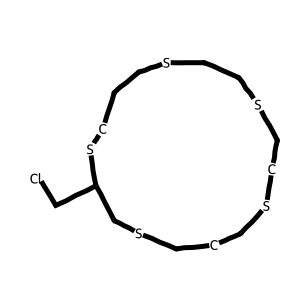 ClCC1CSCCCSCCSCCSCCCS1